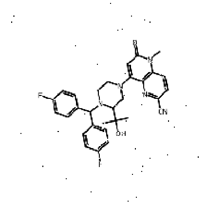 Cn1c(=O)cc(N2CCN(C(c3ccc(F)cc3)c3ccc(F)cc3)C(C(C)(C)O)C2)c2nc(C#N)ccc21